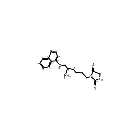 NC(CCCCN1C(=O)CSC1=O)COc1cccc2ccccc12